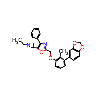 CCNCc1oc(COc2cccc(-c3ccc4c(c3)OCO4)c2C)nc1-c1ccccc1